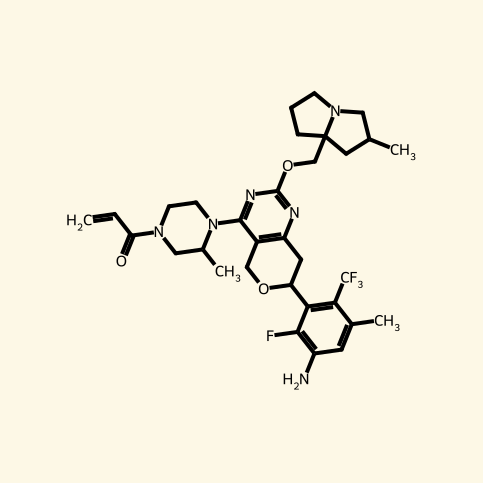 C=CC(=O)N1CCN(c2nc(OCC34CCCN3CC(C)C4)nc3c2COC(c2c(F)c(N)cc(C)c2C(F)(F)F)C3)C(C)C1